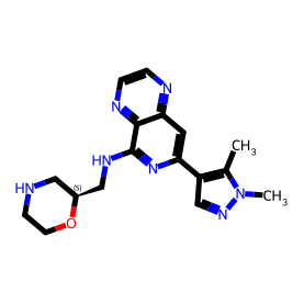 Cc1c(-c2cc3nccnc3c(NC[C@@H]3CNCCO3)n2)cnn1C